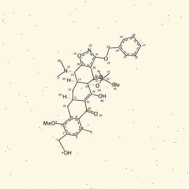 COc1c(CO)cc(C)c2c1C[C@H]1C[C@H]3[C@H](N(C)C)c4onc(OCc5ccccc5)c4C(=O)[C@@]3(O[Si](C)(C)C(C)(C)C)C(O)=C1C2=O